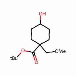 COCC1(C(=O)OC(C)(C)C)CCC(O)CC1